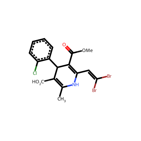 COC(=O)C1=C(C=C(Br)Br)NC(C)=C(C(=O)O)C1c1ccccc1Cl